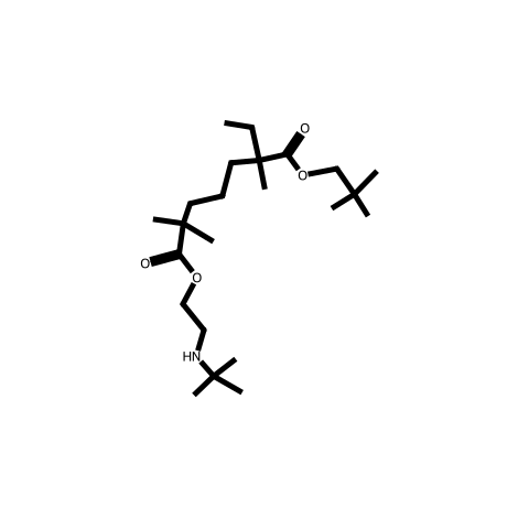 CCC(C)(CCCC(C)(C)C(=O)OCCNC(C)(C)C)C(=O)OCC(C)(C)C